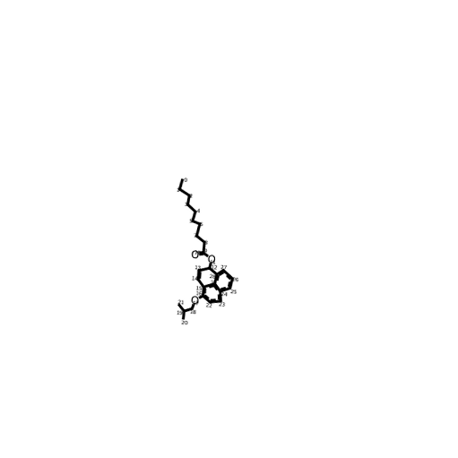 CCCCCCCCCC(=O)OC1C=Cc2c(OCC(C)C)ccc3cccc1c23